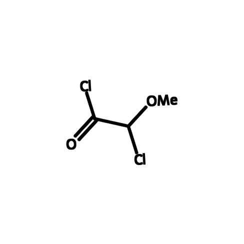 COC(Cl)C(=O)Cl